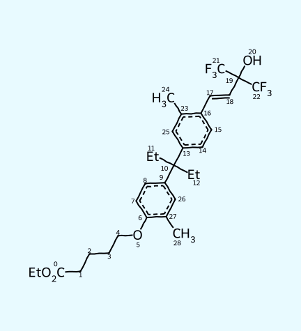 CCOC(=O)CCCCOc1ccc(C(CC)(CC)c2ccc(C=CC(O)(C(F)(F)F)C(F)(F)F)c(C)c2)cc1C